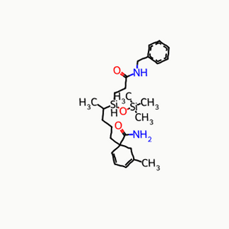 CC1=CC=CC(CCCC(C)[SiH](CCC(=O)NCc2ccccc2)O[Si](C)(C)C)(C(N)=O)C1